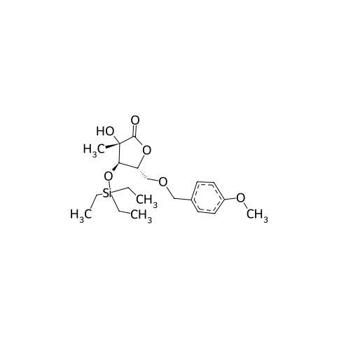 CC[Si](CC)(CC)O[C@@H]1[C@@H](COCc2ccc(OC)cc2)OC(=O)[C@@]1(C)O